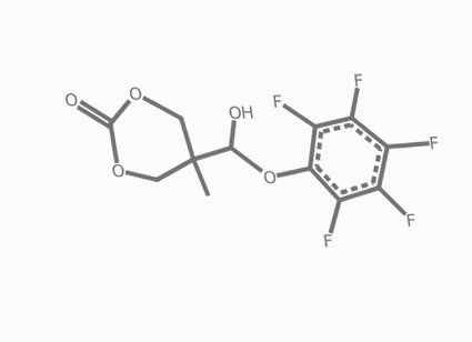 CC1(C(O)Oc2c(F)c(F)c(F)c(F)c2F)COC(=O)OC1